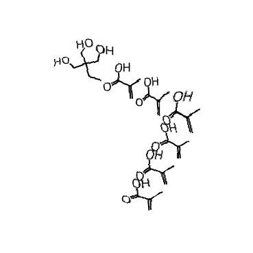 C=C(C)C(=O)O.C=C(C)C(=O)O.C=C(C)C(=O)O.C=C(C)C(=O)O.C=C(C)C(=O)O.C=C(C)C(=O)O.CCC(CO)(CO)CO